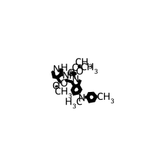 COC(=O)c1ccncc1NCC1c2ccc(N(C)c3ccc(C)cc3)cc2CN1C(=O)OC(C)(C)C